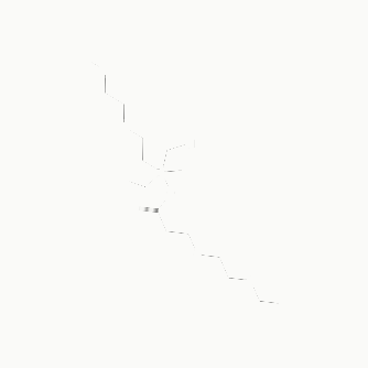 CCOCCOCCC(=O)OP(C)(CC)(CC)CCOCCOC